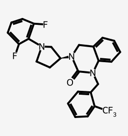 O=C1N(Cc2ccccc2C(F)(F)F)c2ccccc2CN1[C@H]1CCN(c2c(F)cccc2F)C1